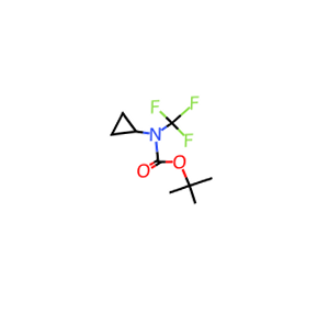 CC(C)(C)OC(=O)N(C1CC1)C(F)(F)F